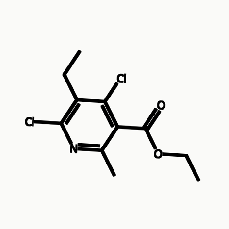 CCOC(=O)c1c(C)nc(Cl)c(CC)c1Cl